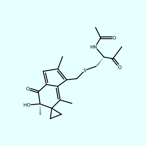 CC(=O)N[C@@H](CSCC1=C(C)C=C2C(=O)[C@](C)(O)C3(CC3)C(C)=C21)C(C)=O